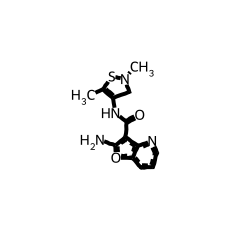 CC1=C(NC(=O)c2c(N)oc3cccnc23)CN(C)S1